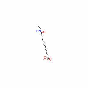 CCNC(=O)CCCCCCCCCC[Si](C)(OC)OC